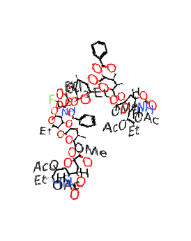 CCC1O[C@@H](O[C@@H]2C(CC)O[C@H](F)C(O[C@@H]3OC(CC)[C@@H](O[C@@H]4OC(CO[C@]5(C(=O)OC)C[C@H]6OC(=O)N[C@H]6C([C@H](OC(C)=O)[C@@H](CC)OC(C)=O)O5)[C@H](C)[C@H](C)C4OC(=O)c4ccccc4)[C@H](C)C3NC(=O)OCC(Cl)(Cl)Cl)[C@H]2C)C(C)[C@@H](C)[C@@H]1O[C@@H]1OC(CO[C@]2(C(=O)OC)C[C@H]3OC(=O)N[C@H]3C([C@H](OC(C)=O)[C@@H](CC)OC(C)=O)O2)[C@H](C)[C@H](C)C1OC(=O)c1ccccc1